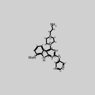 CNc1cccc2c1[nH]c1nc(Oc3cncnc3)nc(N3CCN(CCN)CC3)c12